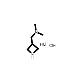 CN(C)CC1CNC1.Cl.Cl